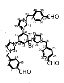 O=Cc1ccc(CN2C=CN(C3=CC(Br)(N4C=CN(Cc5ccc(C=O)cc5)C4)CC(N4C=CN(Cc5ccc(C=O)cc5)C4)=C3)C2)cc1